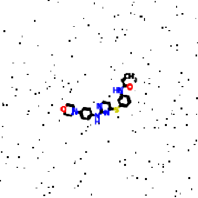 C=CC(=O)Nc1cccc(Sc2ccnc(Nc3ccc(N4CCOCC4)cc3)n2)c1